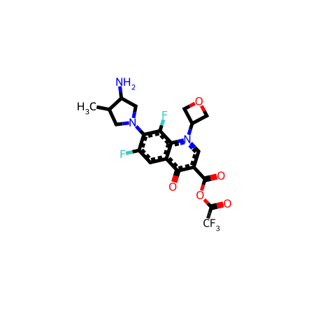 CC1CN(c2c(F)cc3c(=O)c(C(=O)OC(=O)C(F)(F)F)cn(C4COC4)c3c2F)CC1N